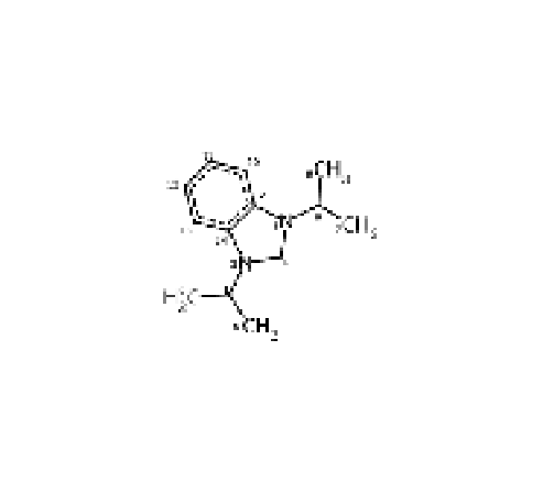 CC(C)N1CN(C(C)C)c2ccccc21